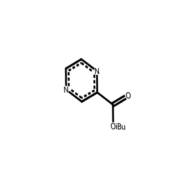 CC(C)COC(=O)c1cnccn1